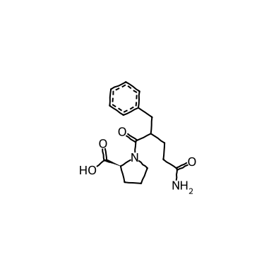 NC(=O)CCC(Cc1ccccc1)C(=O)N1CCC[C@H]1C(=O)O